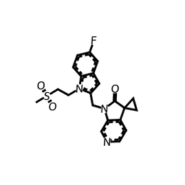 CS(=O)(=O)CCn1c(CN2C(=O)C3(CC3)c3ccncc32)cc2cc(F)ccc21